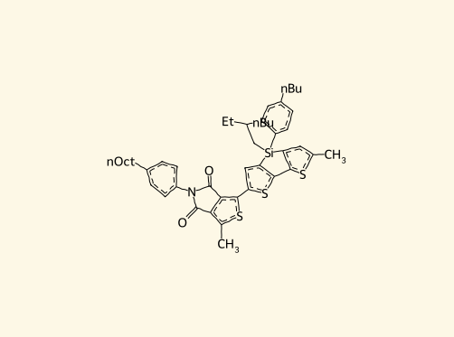 CCCCCCCCc1ccc(N2C(=O)c3c(C)sc(-c4cc5c(s4)-c4sc(C)cc4[Si]5(CC(CC)CCCC)c4ccc(CCCC)cc4)c3C2=O)cc1